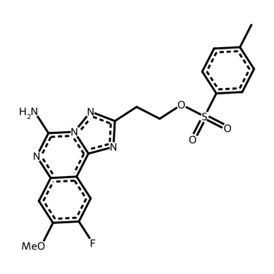 COc1cc2nc(N)n3nc(CCOS(=O)(=O)c4ccc(C)cc4)nc3c2cc1F